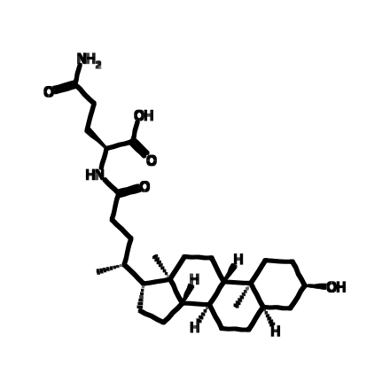 C[C@H](CCC(=O)N[C@@H](CCC(N)=O)C(=O)O)[C@H]1CC[C@H]2[C@@H]3CC[C@@H]4C[C@H](O)CC[C@]4(C)[C@H]3CC[C@]12C